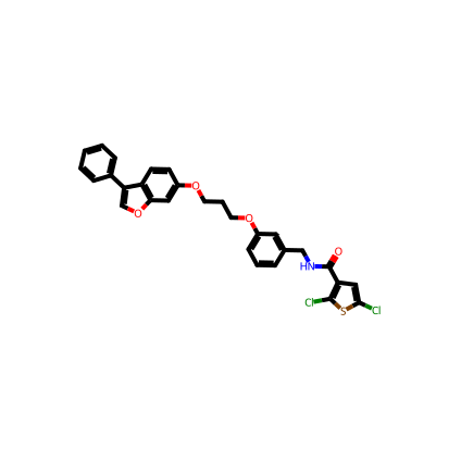 O=C(NCc1[c]c(OCCCOc2ccc3c(-c4ccccc4)coc3c2)ccc1)c1cc(Cl)sc1Cl